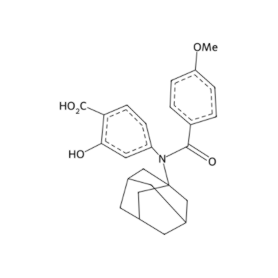 COc1ccc(C(=O)N(c2ccc(C(=O)O)c(O)c2)C23CC4CC(CC(C4)C2)C3)cc1